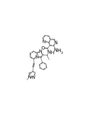 CC(NC(=O)c1c(N)ncc2cccnc12)c1nc2cccc(C#Cc3cnn(C)c3)n2c1-c1ccccc1